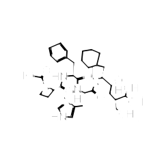 CC[C@@H](C[C@@H](O)[C@H](CC1CCCCC1)NC(=O)[C@H](Cc1c[nH]cn1)NC(=O)[C@H](Cc1ccccc1)NC(=O)[C@@H]1CCN1C(=O)O)C(C)C